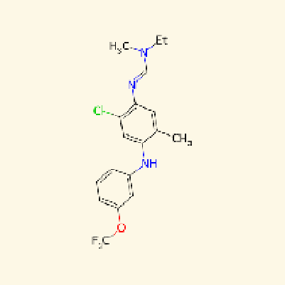 CCN(C)C=Nc1cc(C)c(Nc2cccc(OC(F)(F)F)c2)cc1Cl